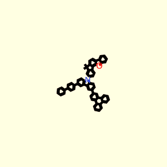 CC1(C)c2cc(-n3c4ccc(-c5ccc(-c6ccccc6)cc5)cc4c4cc(-c5ccc6c7ccccc7c7ccccc7c6c5)ccc43)ccc2-c2c1ccc1c2oc2ccccc21